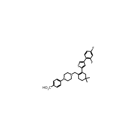 CC1(C)CCC(CN2CCN(c3ccc(C(=O)O)cc3)CC2)=C(c2cc(-c3ccc(F)cc3F)cs2)C1